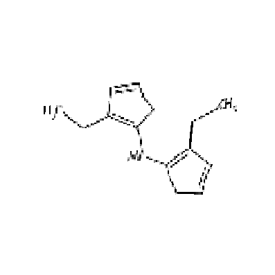 CCC1=[C]([Mn][C]2=C(CC)C=CC2)CC=C1